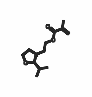 C=C(C)C(=O)OCCN1CCOC1C(C)C